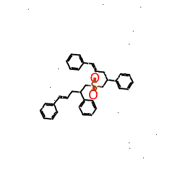 O=S(=O)(CC(CC=Cc1ccccc1)c1ccccc1)CC(CC=Cc1ccccc1)c1ccccc1